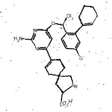 Nc1nc(O[C@H](c2ccc(Cl)cc2C2=CCCCC2)C(F)(F)F)cc(C2=CCC3(CC2)CNC(C(=O)O)C3)n1